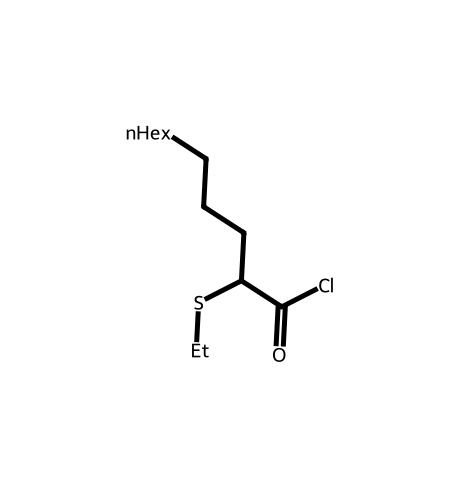 CCCCCCCCCC(SCC)C(=O)Cl